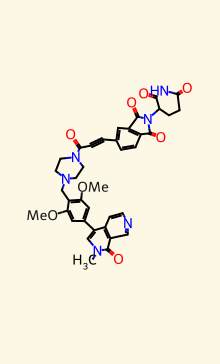 COc1cc(-c2cn(C)c(=O)c3cnccc23)cc(OC)c1CN1CCN(C(=O)C#Cc2ccc3c(c2)C(=O)N(C2CCC(=O)NC2=O)C3=O)CC1